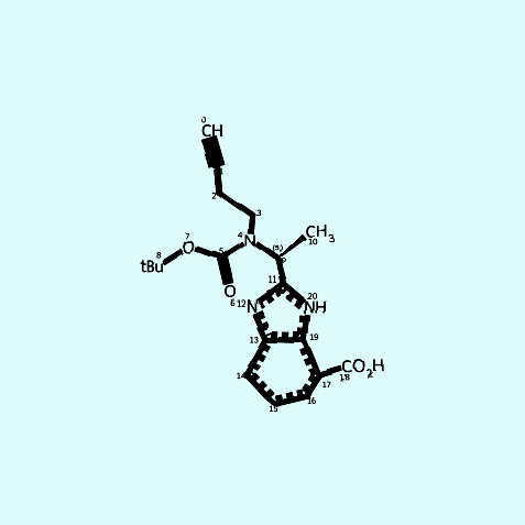 C#CCCN(C(=O)OC(C)(C)C)[C@@H](C)c1nc2cccc(C(=O)O)c2[nH]1